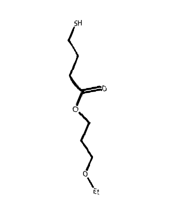 CCOCCCOC(=O)CCCS